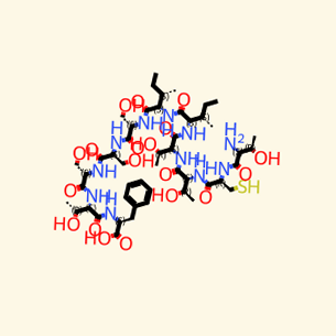 CC[C@H](C)[C@H](NC(=O)[C@@H](NC(=O)[C@@H](NC(=O)[C@H](CS)NC(=O)[C@@H](N)[C@@H](C)O)[C@@H](C)O)[C@@H](C)O)C(=O)N[C@H](C(=O)N[C@@H](CO)C(=O)N[C@@H](CO)C(=O)N[C@@H](CO)C(=O)N[C@H](C(=O)N[C@@H](Cc1ccccc1)C(=O)O)[C@@H](C)O)[C@@H](C)CC